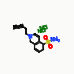 CNCCN1C=Cc2c(cccc2S(N)(=O)=O)C1.Cl.Cl